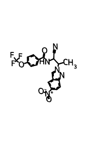 CC(C(C#N)NC(=O)c1ccc(OC(F)(F)F)cc1)n1cc2cc([N+](=O)[O-])ccc2n1